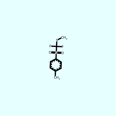 CSC(F)(F)S(=O)(=O)c1ccc(C)cc1